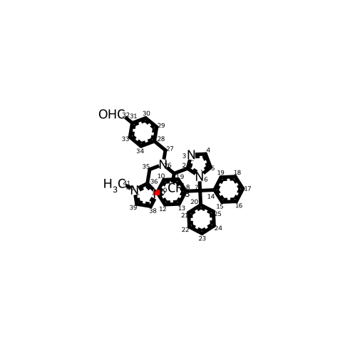 CC(c1nccn1C(c1ccccc1)(c1ccccc1)c1ccccc1)N(Cc1ccc(C=O)cc1)Cc1nccn1C